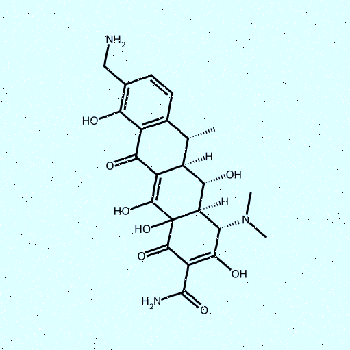 C[C@H]1c2ccc(CN)c(O)c2C(=O)C2=C(O)C3(O)C(=O)C(C(N)=O)=C(O)[C@@H](N(C)C)[C@@H]3[C@@H](O)[C@@H]21